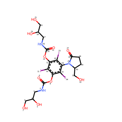 O=C(NCC(O)CO)Oc1c(I)c(OC(=O)NCC(O)CO)c(I)c(N2C(=O)CCC2CO)c1I